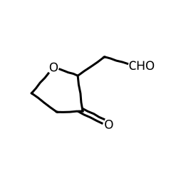 O=CCC1OCCC1=O